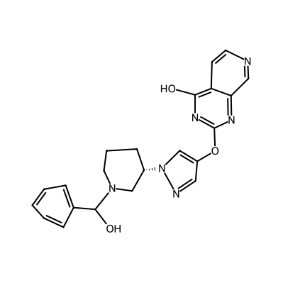 Oc1nc(Oc2cnn([C@H]3CCCN(C(O)c4ccccc4)C3)c2)nc2cnccc12